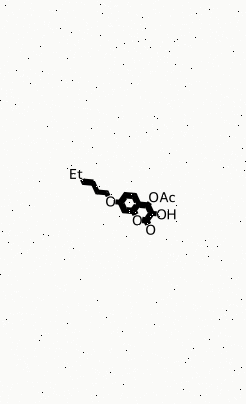 CCC=CCCOc1ccc2c(OC(C)=O)c(O)c(=O)oc2c1